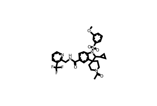 COc1cccc(S(=O)(=O)N2c3ccc(C(=O)NCc4ncccc4C(F)(F)F)cc3C3(CCN(C(C)=O)CC3)C2C2CC2)c1